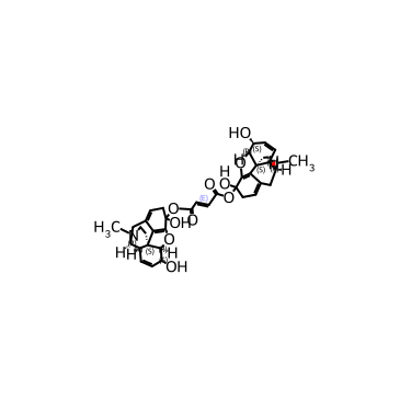 CN1CC[C@]23C4=C5O[C@H]2[C@@H](O)C=C[C@H]3[C@H]1CC4=CCC5(O)OC(=O)/C=C/C(=O)OC1(O)CC=C2C[C@@H]3[C@@H]4C=C[C@H](O)[C@@H]5OC1=C2[C@]45CCN3C